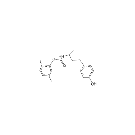 Cc1ccc(C)c(OC(=O)NC(C)CCc2ccc(O)cc2)c1